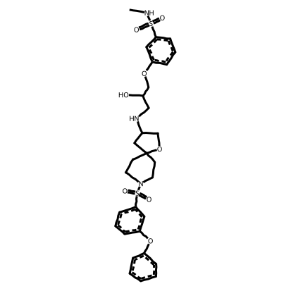 CNS(=O)(=O)c1cccc(OCC(O)CNC2COC3(CCN(S(=O)(=O)c4cccc(Oc5ccccc5)c4)CC3)C2)c1